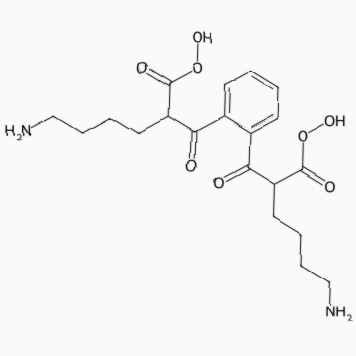 NCCCCC(C(=O)OO)C(=O)c1ccccc1C(=O)C(CCCCN)C(=O)OO